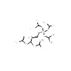 CC(C)OC(OC(C)C)[SiH2]CC[Si](OC(C)C)(OC(C)C)OC(C)C